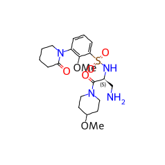 COc1c(N2CCCCC2=O)cccc1S(=O)(=O)N[C@@H](CN)C(=O)N1CCC(OC)CC1